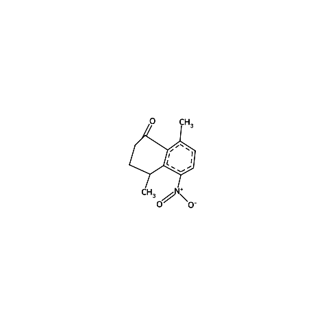 Cc1ccc([N+](=O)[O-])c2c1C(=O)CCC2C